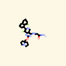 NC(=O)CCNc1nc(OCC23CCCN2CCC3)nc2c(F)c(-c3cccc4cccc(F)c34)ncc12